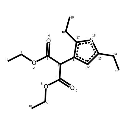 CCOC(=O)C(C(=O)OCC)c1cc(CC)sc1CC